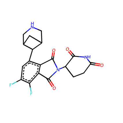 O=C1CCC(N2C(=O)c3c(C4C5CNCC4C5)cc(F)c(F)c3C2=O)C(=O)N1